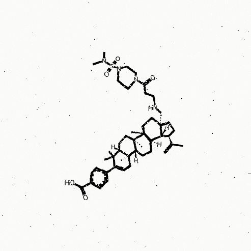 C=C(C)[C@@H]1CC[C@]2(CNCCC(=O)N3CCN(S(=O)(=O)N(C)C)CC3)CC[C@]3(C)[C@H](CC[C@@H]4[C@@]5(C)CC=C(c6ccc(C(=O)O)cc6)C(C)(C)[C@@H]5CC[C@]43C)[C@@H]12